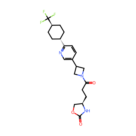 O=C1N[C@H](CCC(=O)N2CC(c3ccc([C@H]4CC[C@H](C(F)(F)F)CC4)nc3)C2)CO1